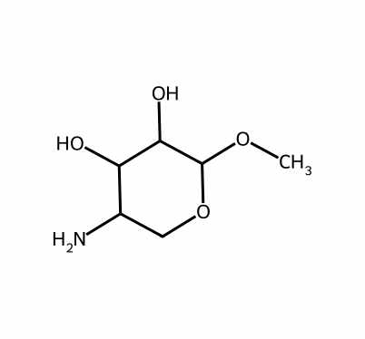 COC1OCC(N)C(O)C1O